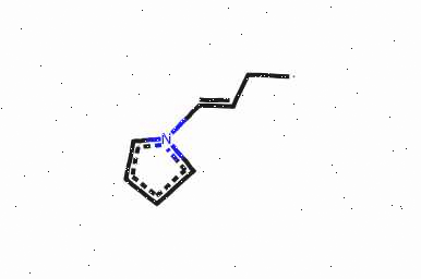 [CH2]CC=Cn1cccc1